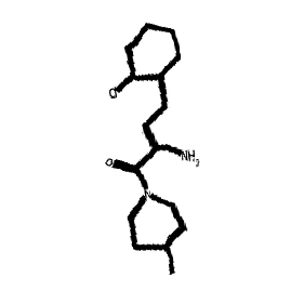 CC1CCN(C(=O)C(N)CCC2CCCCC2Cl)CC1